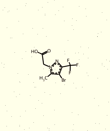 Cc1c(Br)c(C(F)(F)F)nn1CC(=O)O